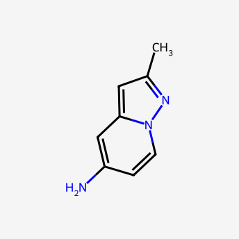 Cc1cc2cc(N)ccn2n1